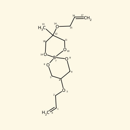 C=CCOC1CO[B-]2(OC1)OCC(C)(OCC=C)CO2